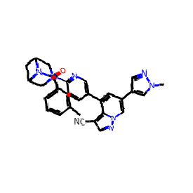 Cc1cccc(C(=O)N2C3CC2CN(c2ccc(-c4cc(-c5cnn(C)c5)cn5ncc(C#N)c45)cn2)C3)c1